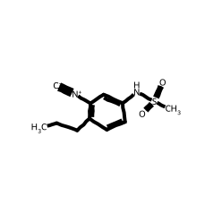 [C-]#[N+]c1cc(NS(C)(=O)=O)ccc1CCC